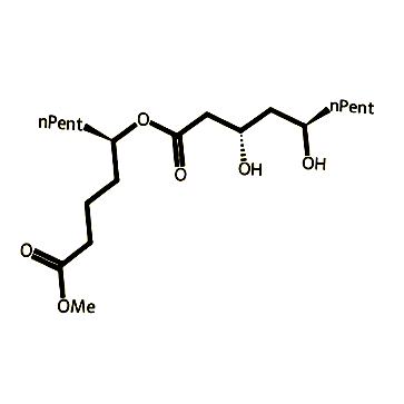 CCCCC[C@@H](O)C[C@H](O)CC(=O)O[C@H](CCCCC)CCCC(=O)OC